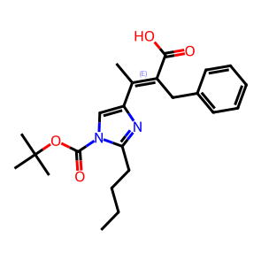 CCCCc1nc(/C(C)=C(\Cc2ccccc2)C(=O)O)cn1C(=O)OC(C)(C)C